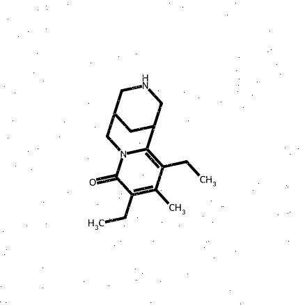 CCc1c(C)c(CC)c(=O)n2c1C1CNCC(C1)C2